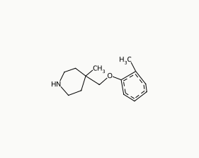 Cc1ccccc1OCC1(C)CCNCC1